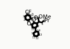 COC(=O)C(CC(C)C)c1cc(-c2ccccc2)cc(Oc2ccc(C(F)(F)F)cc2)c1C(F)(F)F